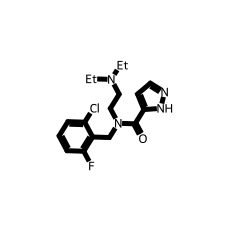 CCN(CC)CCN(Cc1c(F)cccc1Cl)C(=O)c1ccn[nH]1